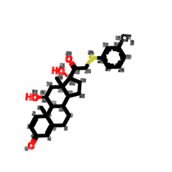 CC12C=CC(=O)C=C1CCC1C2[C@@H](O)CC2(C)C1CC[C@]2(O)C(=O)CSc1cccc(C(F)(F)F)c1